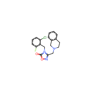 O=c1onc(CN2CCc3ccccc3C2)n1Cc1c(F)cccc1Cl